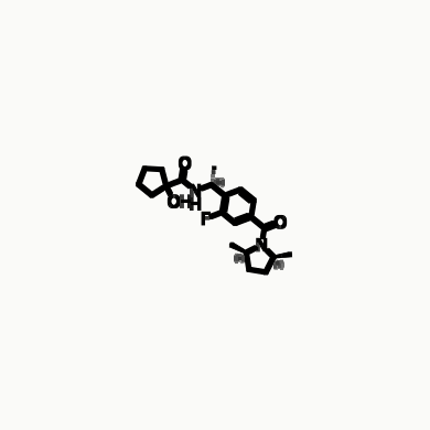 C[C@@H]1CC[C@H](C)N1C(=O)c1ccc([C@@H](C)NC(=O)C2(O)CCCC2)c(F)c1